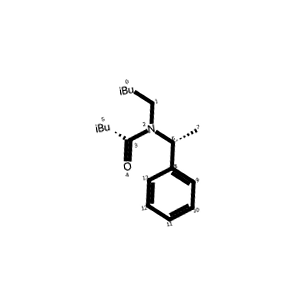 CCC(C)CN(C(=O)[C@@H](C)CC)[C@H](C)c1ccccc1